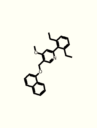 CCc1cccc(CC)c1-c1cc(OC)c(COc2cccc3ccccc23)cn1